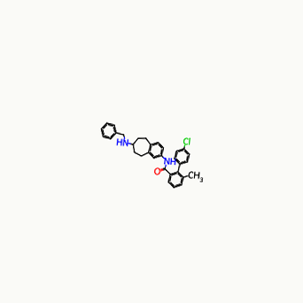 Cc1cccc(C(=O)Nc2ccc3c(c2)CCC(NCc2ccccc2)CC3)c1-c1ccc(Cl)cc1